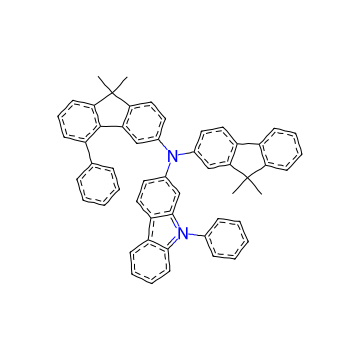 CC1(C)c2ccccc2-c2ccc(N(c3ccc4c(c3)-c3c(-c5ccccc5)cccc3C4(C)C)c3ccc4c5ccccc5n(-c5ccccc5)c4c3)cc21